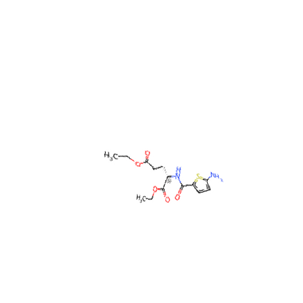 CCOC(=O)CC[C@H](NC(=O)c1ccc(N)s1)C(=O)OCC